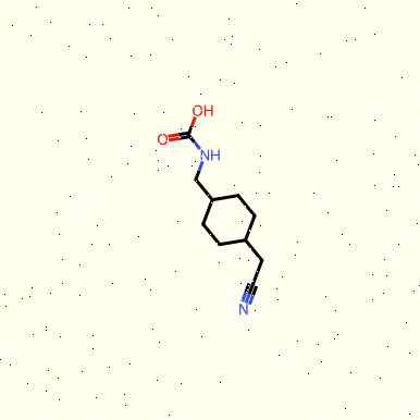 N#CCC1CCC(CNC(=O)O)CC1